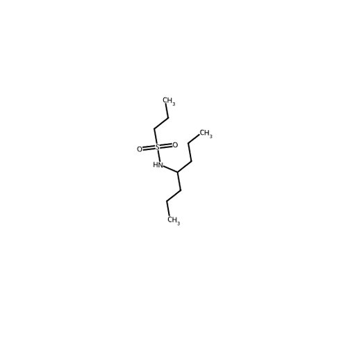 CCCC(CCC)NS(=O)(=O)CCC